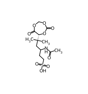 CC(=O)NC(CCS(=O)(=O)O)CC(C)(C)[C@H]1OC(=O)OCOC1=O